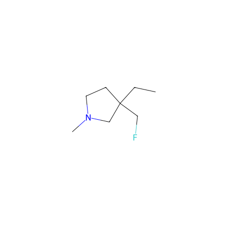 CCC1(CF)CCN(C)C1